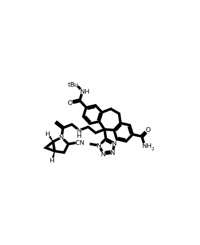 C=C(CNCCC1(c2nnnn2C)c2ccc(C(N)=O)cc2CCc2cc(C(=O)NC(C)(C)C)ccc21)N1C(C#N)C[C@@H]2C[C@@H]21